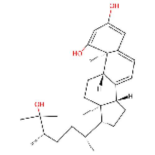 C[C@H](CC[C@H](C)C(C)(C)O)[C@H]1CC[C@H]2C3=CC=C4C=C(O)C=C(O)[C@]4(C)[C@H]3CC[C@]12C